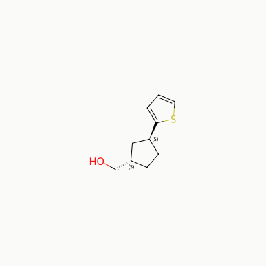 OC[C@H]1CC[C@H](c2cccs2)C1